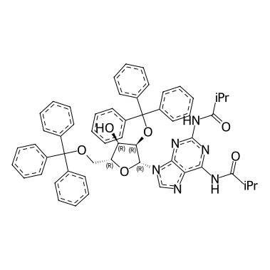 CC(C)C(=O)Nc1nc(NC(=O)C(C)C)c2ncn([C@@H]3O[C@H](COC(c4ccccc4)(c4ccccc4)c4ccccc4)[C@@H](O)[C@H]3OC(c3ccccc3)(c3ccccc3)c3ccccc3)c2n1